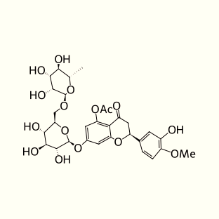 COc1ccc([C@@H]2CC(=O)c3c(OC(C)=O)cc(O[C@@H]4O[C@H](CO[C@@H]5O[C@@H](C)[C@H](O)[C@@H](O)[C@H]5O)[C@@H](O)[C@H](O)[C@H]4O)cc3O2)cc1O